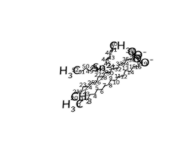 CCCCCCCCCCCCCCCCCC(=O)[O-].CCCCCCCCCCCCCCCCCC(=O)[O-].CCCCC[CH2][Sn+2][CH2]CCCCC